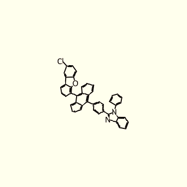 Clc1ccc2oc3c(-c4c5ccccc5c(-c5ccc(-c6nc7ccccc7n6-c6ccccc6)cc5)c5ccccc45)cccc3c2c1